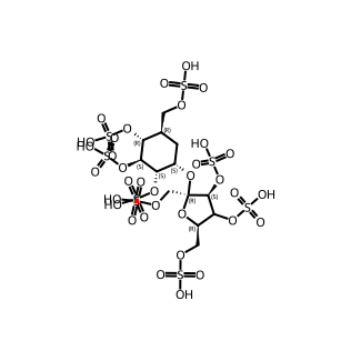 O=S(=O)(O)OC[C@H]1C[C@H](O[C@]2(COS(=O)(=O)O)O[C@H](COS(=O)(=O)O)C(OS(=O)(=O)O)[C@@H]2OS(=O)(=O)O)[C@H](OS(=O)(=O)O)[C@@H](OS(=O)(=O)O)[C@@H]1OS(=O)(=O)O